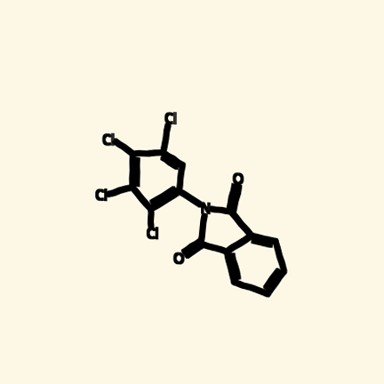 O=C1c2ccccc2C(=O)N1c1cc(Cl)c(Cl)c(Cl)c1Cl